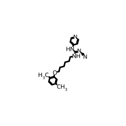 Cc1ccc(C)c(OCCCCCCN/C(=N\C#N)Nc2ccncc2)c1